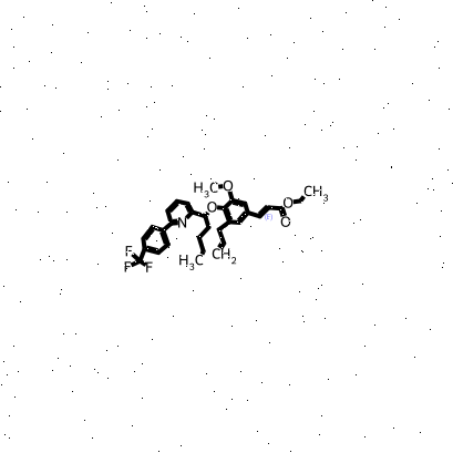 C=CCc1cc(/C=C/C(=O)OCC)cc(OC)c1OC(CCCC)c1cccc(-c2ccc(C(F)(F)F)cc2)n1